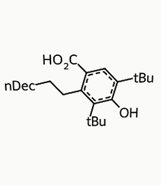 CCCCCCCCCCCCc1c(C(=O)O)cc(C(C)(C)C)c(O)c1C(C)(C)C